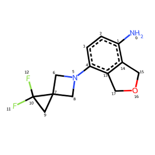 Nc1ccc(N2CC3(C2)CC3(F)F)c2c1COC2